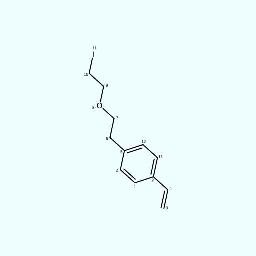 C=Cc1ccc(CCOCCI)cc1